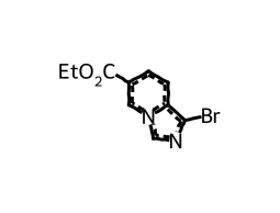 CCOC(=O)c1ccc2c(Br)ncn2c1